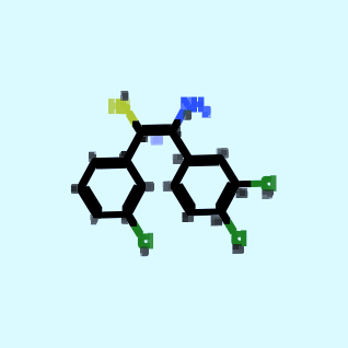 N/C(=C(\S)c1cccc(Cl)c1)c1ccc(Cl)c(Cl)c1